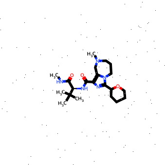 CNC(=O)[C@@H](NC(=O)c1nc(C2CCCCO2)n2c1CN(C)CCC2)C(C)(C)C